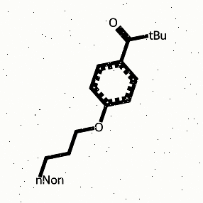 CCCCCCCCCCCCOc1ccc(C(=O)C(C)(C)C)cc1